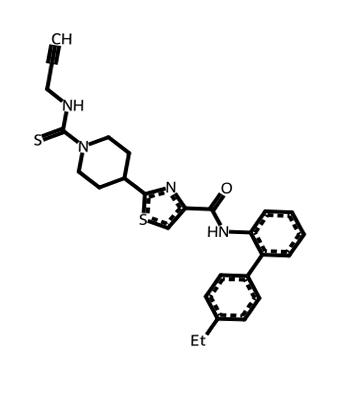 C#CCNC(=S)N1CCC(c2nc(C(=O)Nc3ccccc3-c3ccc(CC)cc3)cs2)CC1